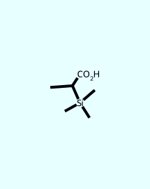 CC(C(=O)O)[Si](C)(C)C